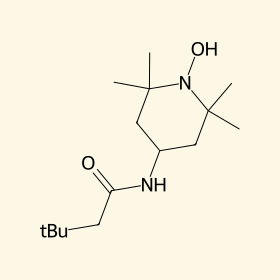 CC(C)(C)CC(=O)NC1CC(C)(C)N(O)C(C)(C)C1